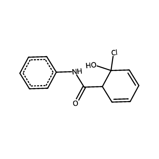 O=C(Nc1ccccc1)C1C=CC=CC1(O)Cl